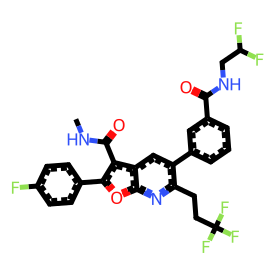 CNC(=O)c1c(-c2ccc(F)cc2)oc2nc(CCC(F)(F)F)c(-c3cccc(C(=O)NCC(F)F)c3)cc12